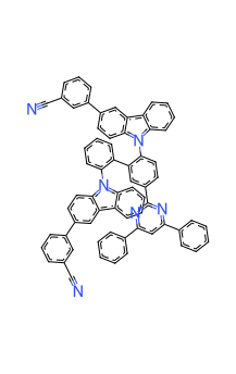 N#Cc1cccc(-c2ccc3c(c2)c2ccccc2n3-c2ccccc2-c2cc(-c3nc(-c4ccccc4)cc(-c4ccccc4)n3)ccc2-n2c3ccccc3c3cc(-c4cccc(C#N)c4)ccc32)c1